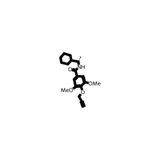 C#CCOc1c(OC)cc(C(=O)N[C@@H](C)C2CCCCC2)cc1OC